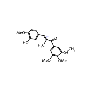 COc1ccc(/C=C(\C)C(=O)c2cc(OC)c(OC)c([Se]C)c2)cc1O